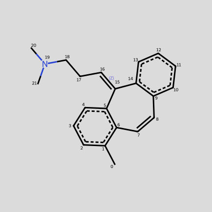 Cc1cccc2c1C=Cc1ccccc1/C2=C/CCN(C)C